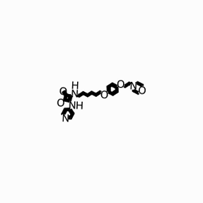 O=c1c(NCCCCCCOc2ccc(OCCN3CCOCC3)cc2)c(Nc2ccncc2)c1=O